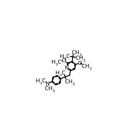 COc1cc(CC(C)(C)c2ccc(N(C)C)cc2)nc(OC)c1C(C)(C)C